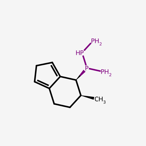 C[C@H]1CCC2=CCC=C2[C@H]1P(P)PP